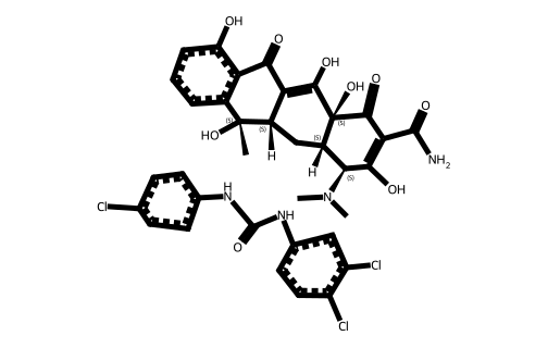 CN(C)[C@@H]1C(O)=C(C(N)=O)C(=O)[C@@]2(O)C(O)=C3C(=O)c4c(O)cccc4[C@@](C)(O)[C@H]3C[C@@H]12.O=C(Nc1ccc(Cl)cc1)Nc1ccc(Cl)c(Cl)c1